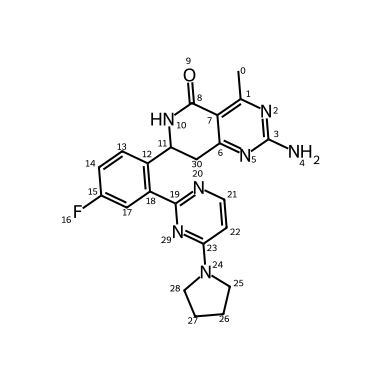 Cc1nc(N)nc2c1C(=O)NC(c1ccc(F)cc1-c1nccc(N3CCCC3)n1)C2